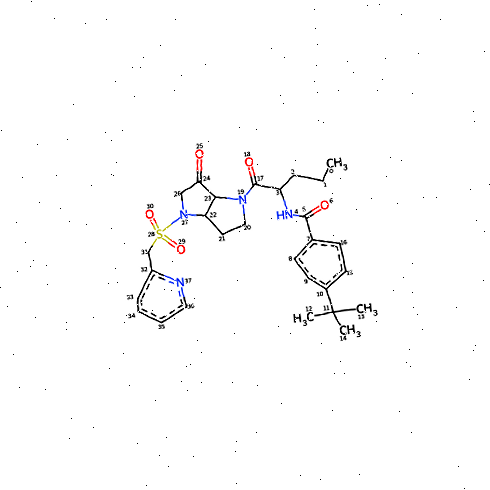 CCCC(NC(=O)c1ccc(C(C)(C)C)cc1)C(=O)N1CCC2C1C(=O)CN2S(=O)(=O)Cc1ccccn1